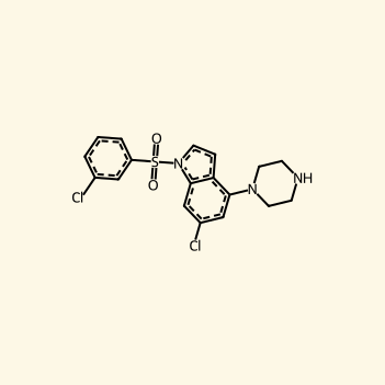 O=S(=O)(c1cccc(Cl)c1)n1ccc2c(N3CCNCC3)cc(Cl)cc21